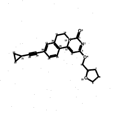 O=c1nc(OCC2CCCO2)cc2n1CCc1cc(C#CC3CC3)ccc1-2